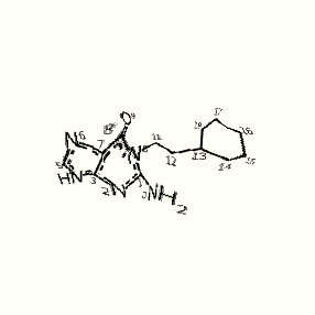 Nc1nc2[nH]cnc2c(=O)n1CCC1CCCCC1